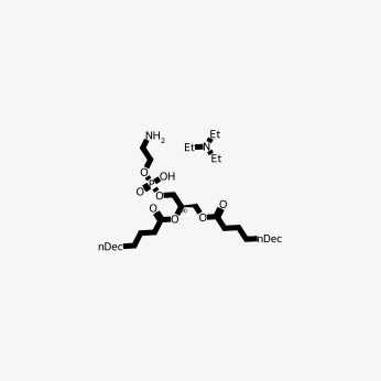 CCCCCCCCCCCCCC(=O)OC[C@H](COP(=O)(O)OCCN)OC(=O)CCCCCCCCCCCCC.CCN(CC)CC